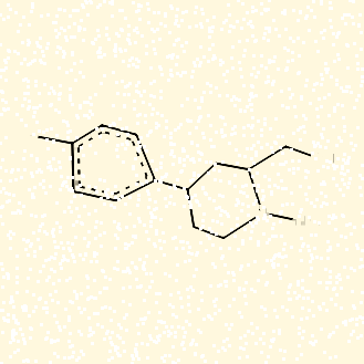 CCCCN1CCC(c2ccc(F)cc2)CC1CO